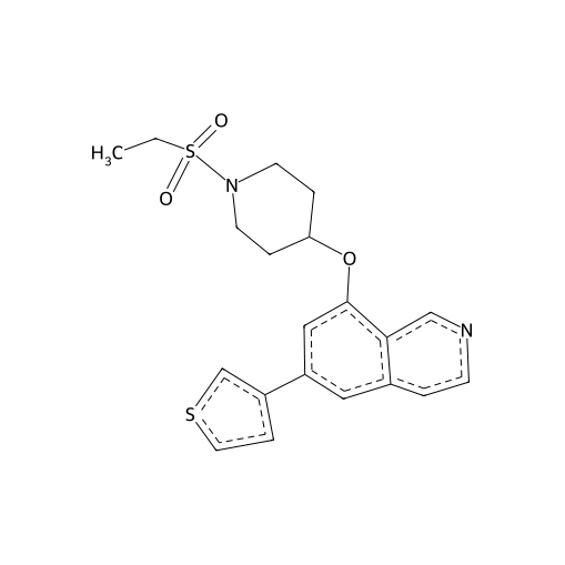 CCS(=O)(=O)N1CCC(Oc2cc(-c3ccsc3)cc3ccncc23)CC1